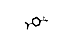 CC(C)[C@H]1CC[C@H](NI)CC1